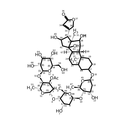 CC(=O)O[C@H]1C[C@H](O[C@H]2[C@@H](O)C[C@H](O[C@H]3[C@@H](O)C[C@H](OC4CC[C@@]5(C)C(CC[C@@H]6[C@@H]5CC(O)[C@]5(C)[C@@H](C7=CC(=O)OC7)C(O)CC65O)C4)O[C@@H]3C)O[C@@H]2C)O[C@H](C)[C@H]1O[C@@H]1O[C@H](CO)[C@@H](O)[C@H](O)[C@H]1O